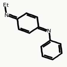 CCN=C1C=CC(=Nc2ccccc2)C=C1